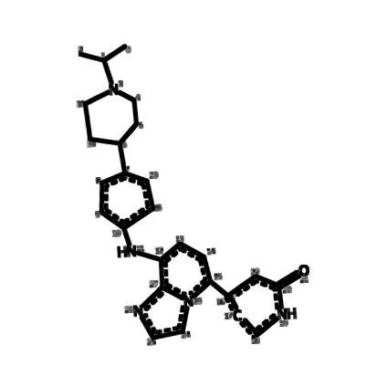 CC(C)N1CCC(c2ccc(Nc3ccc(-c4cc[nH]c(=O)c4)n4ccnc34)cc2)CC1